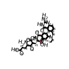 CCN(Cc1ccc2nc(N)[nH]c(=O)c2c1)c1ccc(C(=O)N(C)[C@@H](CC(C(=O)O)C(=O)[C@@H](N)CCC(=O)O)C(=O)O)c(F)c1